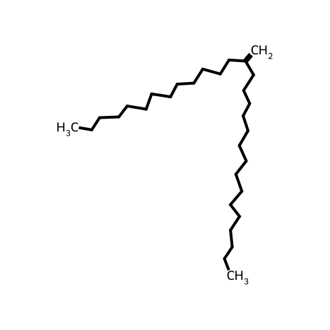 C=C(CCCCCCCCCCCCC)CCCCCCCCCCCCCCC